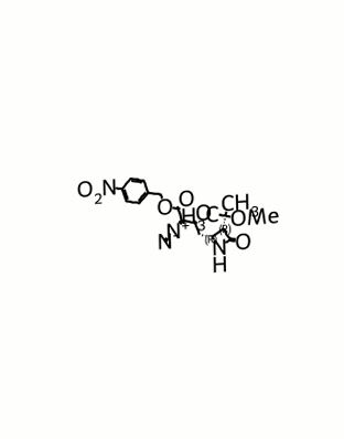 COC(C)(C)[C@@H]1C(=O)N[C@@H]1CC(=O)C(=[N+]=[N-])C(=O)OCc1ccc([N+](=O)[O-])cc1